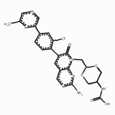 Cc1cncc(-c2ccc(-c3cc4cnc(N)nc4n(CC4OCC(NC(=O)O)CO4)c3=O)c(Cl)c2)n1